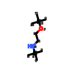 C[Si](C)(C)NCCO[Si](C)(C)C